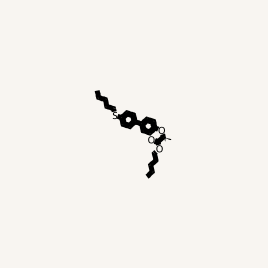 CCCCCOC(=O)[C@@H](C)Oc1ccc(-c2ccc(SCCCCC)cc2)cc1